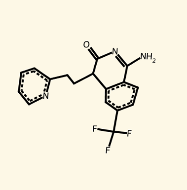 NC1=NC(=O)C(CCc2ccccn2)c2cc(C(F)(F)F)ccc21